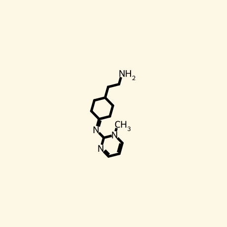 CN1C=CC=NC1N=C1CCC(CCN)CC1